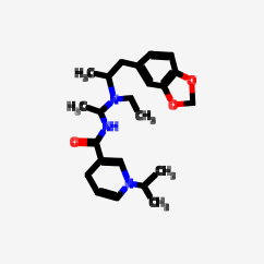 CCN(C(C)Cc1ccc2c(c1)OCO2)C(C)NC(=O)C1=CN(C(C)C)C=CC1